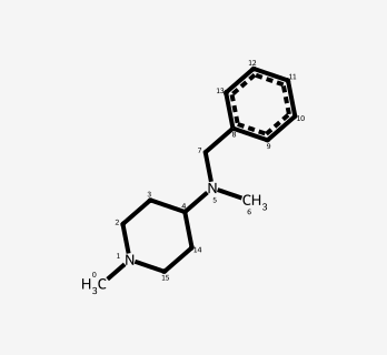 CN1CCC(N(C)Cc2ccccc2)CC1